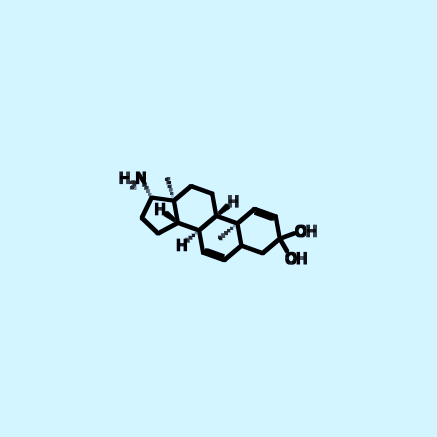 C[C@]12CC[C@H]3[C@@H](C=CC4CC(O)(O)C=C[C@@]43C)[C@@H]1CC[C@@H]2N